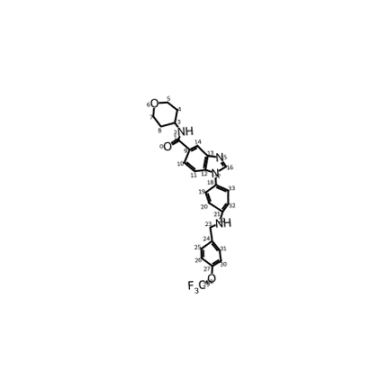 O=C(NC1CCOCC1)c1ccc2c(c1)ncn2-c1ccc(NCc2ccc(OC(F)(F)F)cc2)cc1